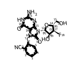 N#Cc1ccccc1Cn1c(=O)n([C@@H]2O[C@H](CO)[C@@H](F)[C@H]2O)c2nc(N)[nH]c(=O)c21